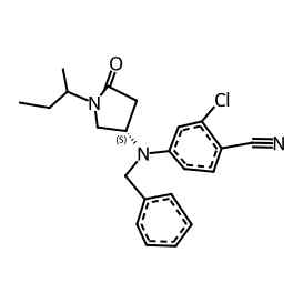 CCC(C)N1C[C@@H](N(Cc2ccccc2)c2ccc(C#N)c(Cl)c2)CC1=O